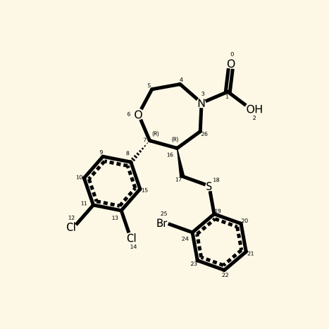 O=C(O)N1CCO[C@@H](c2ccc(Cl)c(Cl)c2)[C@H](CSc2ccccc2Br)C1